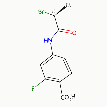 CC[C@H](Br)C(=O)Nc1ccc(C(=O)O)c(F)c1